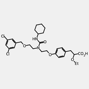 CCOC(Cc1ccc(OCCN(CCOCc2cc(Cl)cc(Cl)c2)C(=O)NC2CCCCC2)cc1)C(=O)O